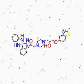 Cc1nc2cc(OCC(O)CN3CCN(Cc4nc(C5(c6ccccc6)Nc6ccccc6N5)no4)CC3)ccc2s1